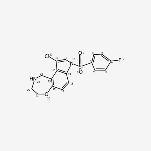 O=S(=O)(c1ccc(F)cc1)n1cc(Cl)c2c3c(ccc21)OCCNC3